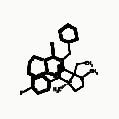 CCC1(c2nc3ccccc3c(=O)n2Cc2ccccc2)N(C)CC[N@@+]1(C)C(=O)c1ccc(F)cc1